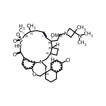 CO[C@@]1(CCN2CC(C)(N(C)C)C2)/C=C/C[C@H](C)[C@@H](C)S(=O)(=O)NC(=O)c2ccc3c(c2)N(C[C@@H]2CC[C@H]21)C[C@@]1(CCCc2cc(Cl)ccc21)CO3